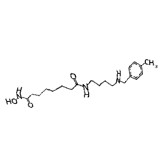 Cc1ccc(CNCCCCNC(=O)CCCCCCC(=O)NO)cc1